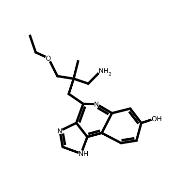 CCOCC(C)(CN)Cc1nc2cc(O)ccc2c2[nH]cnc12